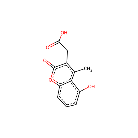 Cc1c(CC(=O)O)c(=O)oc2cccc(O)c12